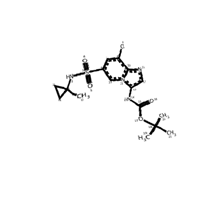 CC1(NS(=O)(=O)c2cc(Cl)c3ncc(NC(=O)OC(C)(C)C)n3c2)CC1